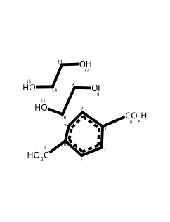 O=C(O)c1ccc(C(=O)O)cc1.OCCO.OCCO